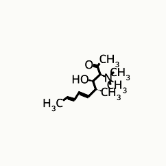 CC=CC=C[C@@H](C)[C@@H](O)[C@@H](C(C)=O)N(C)C